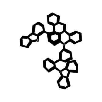 c1cc(-c2ccccc2-n2c3ccccc3c3ccccc32)cc(N(c2ccc(-c3cccc4c3oc3ccccc34)cc2)c2ccccc2-c2cc3ccccc3c3ccccc23)c1